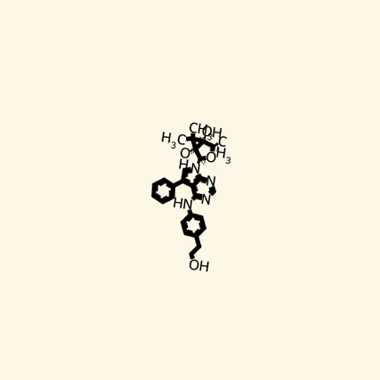 C[C@H]1O[C@@H](n2cc(-c3ccccc3)c3c(Nc4ccc(CCO)cc4)ncnc32)[C@@]2(O)C(C)(C)[C@@]12O